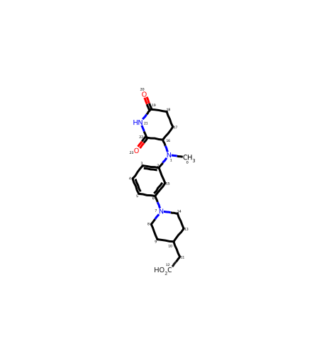 CN(c1cccc(N2CCC(CC(=O)O)CC2)c1)C1CCC(=O)NC1=O